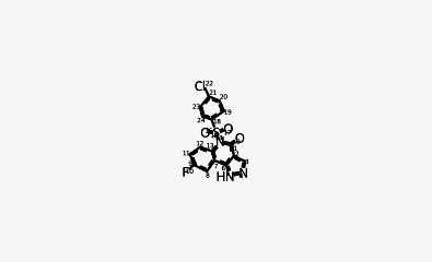 O=c1c2cn[nH]c2c2cc(F)ccc2n1S(=O)(=O)c1ccc(Cl)cc1